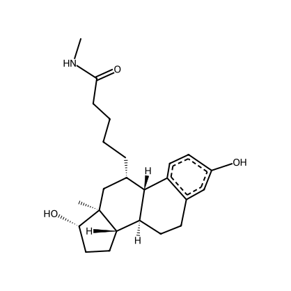 CNC(=O)CCCC[C@H]1C[C@]2(C)[C@@H](O)CC[C@H]2[C@@H]2CCc3cc(O)ccc3[C@@H]12